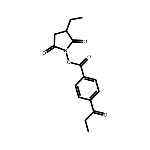 CCC(=O)c1ccc(C(=O)ON2C(=O)CC(CC)C2=O)cc1